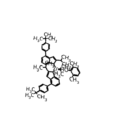 C[C](C)=[Zr]([CH]1C(C(C)C)=Cc2c(-c3ccc(C(C)(C)C)cc3)cccc21)[CH]1C(C(C)C)=Cc2c(-c3ccc(C(C)(C)C)cc3)cccc21.Cc1cccc(C)c1O